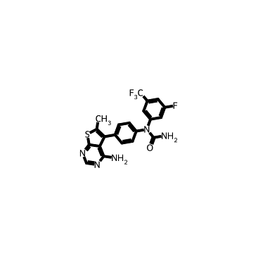 Cc1sc2ncnc(N)c2c1-c1ccc(N(C(N)=O)c2cc(F)cc(C(F)(F)F)c2)cc1